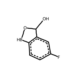 OC1OBc2ccc(F)cc21